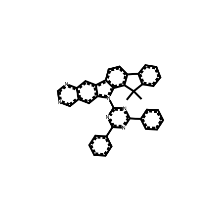 CC1(C)c2ccccc2-c2ccc3c4cc5ncncc5cc4n(-c4nc(-c5ccccc5)nc(-c5ccccc5)n4)c3c21